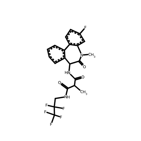 CC(C(=O)NCC(F)(F)C(F)(F)F)C(=O)NC1C(=O)N(C)c2cc(F)ccc2-c2ccccc21